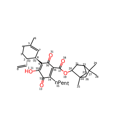 C=C[C@@H]1CCC(C)=C[C@H]1C1=C(O)C(=O)C(CCCCC)=C(C(=O)OC2CC3CC2(C)CC3(C)C)C1=O